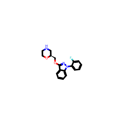 Fc1ccccc1-n1nc(OC[C@@H]2CNCCO2)c2ccccc21